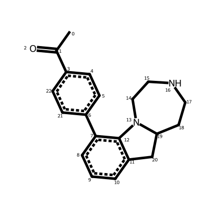 CC(=O)c1ccc(-c2cccc3c2N2CCNCCC2C3)cc1